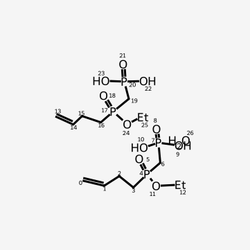 C=CCCP(=O)(CP(=O)(O)O)OCC.C=CCCP(=O)(CP(=O)(O)O)OCC.O